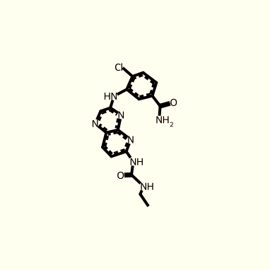 CCNC(=O)Nc1ccc2ncc(Nc3cc(C(N)=O)ccc3Cl)nc2n1